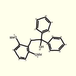 COc1c[c]cc(OC)c1CC(O)(c1ccccc1)c1ccccc1